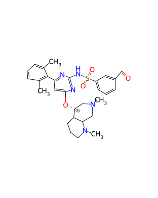 Cc1cccc(C)c1-c1cc(O[C@@H]2CN(C)CC3C2CCCN3C)nc(NS(=O)(=O)c2cccc(C=O)c2)n1